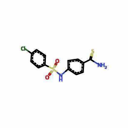 NC(=S)c1ccc(NS(=O)(=O)c2ccc(Cl)cc2)cc1